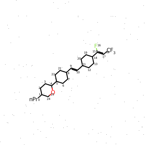 CCCC1CCC(C2CCC(/C=C/C3CCC(/C(F)=C/C(F)(F)F)CC3)CC2)OC1